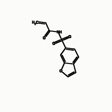 C=CC(=O)NS(=O)(=O)c1ccc2ccoc2c1